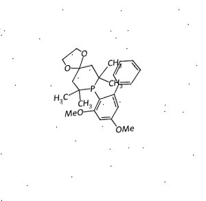 COc1cc(OC)c(P2C(C)(C)CC3(CC2(C)C)OCCO3)c(-c2ccccc2)c1